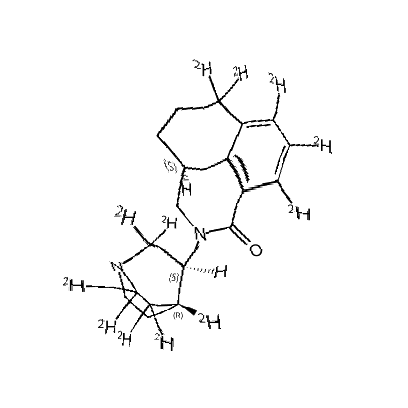 [2H]c1c([2H])c2c3c(c1[2H])C([2H])([2H])CC[C@@H]3CN([C@@H]1C([2H])([2H])N3CC[C@]1([2H])C([2H])([2H])C3([2H])[2H])C2=O